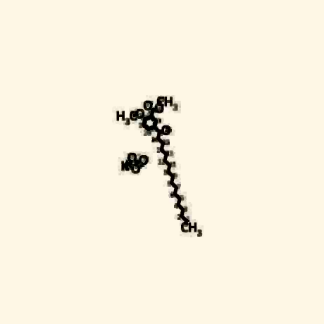 CCCCCCCCCCCCCCCCCC(=O)c1ccc(OC)c(C(=O)OC)c1.O=C([O-])[O-].[K+].[K+]